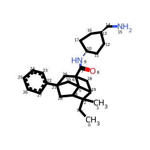 CCC1(C)C2CC3(C(=O)N[C@H]4CC[C@H](CN)CC4)CC1CC(c1ccccc1)(C2)C3